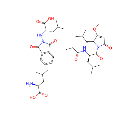 CC(C)C[C@H](N)C(=O)O.CC(C)C[C@H](NN1C(=O)c2ccccc2C1=O)C(=O)O.CCC(=O)N[C@H](CC(C)C)C(=O)N1C(=O)C=C(OC)[C@@H]1CC(C)C